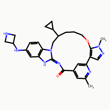 Cc1cc2cc(n1)-c1cnn(C)c1OCCCC(C1CC1)CN1/C(=N/C2=O)Nc2cc(NC3CNC3)ccc21